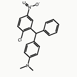 CN(C)c1ccc(C(c2ccccc2)c2cc([N+](=O)[O-])ccc2Cl)cc1